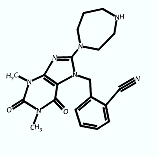 Cn1c(=O)c2c(nc(N3CCCNCC3)n2Cc2ccccc2C#N)n(C)c1=O